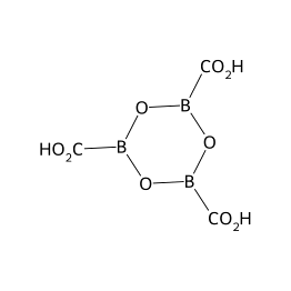 O=C(O)B1OB(C(=O)O)OB(C(=O)O)O1